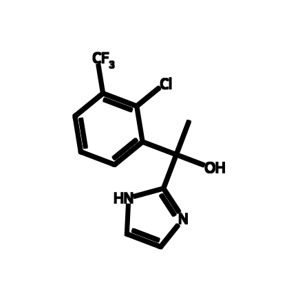 CC(O)(c1ncc[nH]1)c1cccc(C(F)(F)F)c1Cl